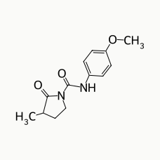 COc1ccc(NC(=O)N2CCC(C)C2=O)cc1